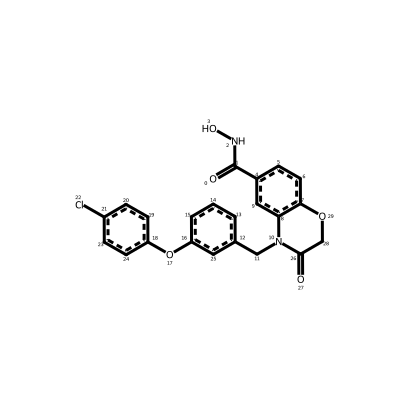 O=C(NO)c1ccc2c(c1)N(Cc1cccc(Oc3ccc(Cl)cc3)c1)C(=O)CO2